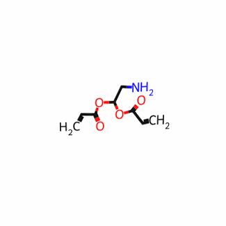 C=CC(=O)OC(CN)OC(=O)C=C